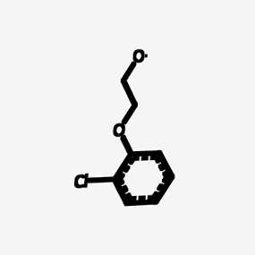 [O]CCOc1ccccc1Cl